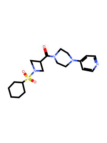 O=C(C1CN(S(=O)(=O)C2CCCCC2)C1)N1CCN(c2ccncc2)CC1